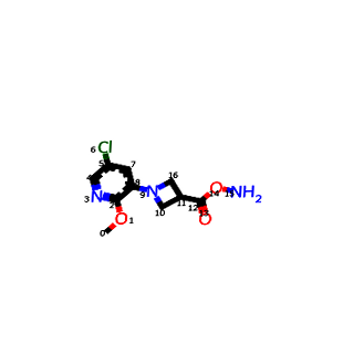 COc1ncc(Cl)cc1N1CC(C(=O)ON)C1